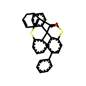 C1=CCCC(c2cccc3c2C2(c4ccccc4Sc4ccccc42)c2cc(-c4ccccc4)ccc2S3)=C1